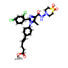 Cc1c(C(=O)NN2CCS(=O)(=O)CC2)nc(-c2ccc(Cl)cc2Cl)n1-c1ccc(C#CCCC(=O)OC(C)(C)C)cc1